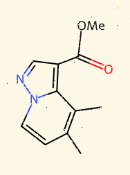 COC(=O)c1cnn2ccc(C)c(C)c12